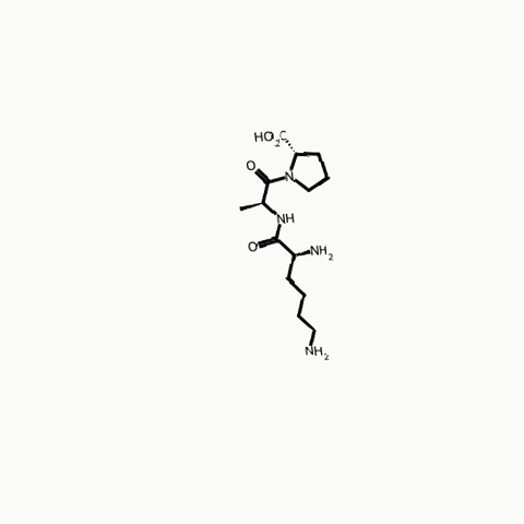 C[C@H](NC(=O)[C@@H](N)CCCCN)C(=O)N1CCC[C@H]1C(=O)O